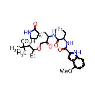 CCC(CC(C)(C)C(=O)O)OCC(=O)C(C[C@@H]1CCNC1=O)NC(=O)C(CC(C)C)NC(=O)c1cc2c(OC)cccc2[nH]1